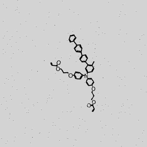 C=CC(=O)OCCCOc1ccc(N(c2ccc(OCCCOC(=O)C=C)cc2)c2ccc(C)c(-c3ccc(-c4ccc(-c5ccccc5)cc4)cc3)c2)cc1